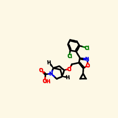 O=C(O)N1C[C@@H]2C[C@H]1C[C@H]2OCc1c(-c2c(Cl)cccc2Cl)noc1C1CC1